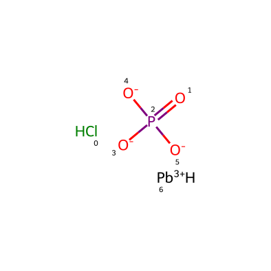 Cl.O=P([O-])([O-])[O-].[PbH+3]